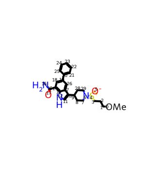 COCCC[S+]([O-])N1CCC(c2c[nH]c3c(C(N)=O)cc(-c4ccccc4)cc23)CC1